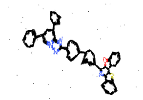 c1ccc(-c2cc(-c3ccccc3)c3nc(-c4ccc(-c5ccc(-c6nc7c8ccccc8sc7c7c6oc6ccccc67)cc5)cc4)nn3c2)cc1